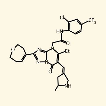 CCc1c(C=C2CNC(C)C2)c(=O)n2nc(C3=CCCOCC3)nc2n1CC(=O)Nc1ccc(C(F)(F)F)cc1Cl